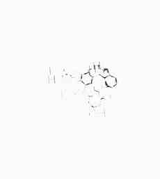 Cc1c2c(c(C(C)[C@@H]3C[C@@H](O)CC(=O)O3)c(C)c1-c1[nH]cc3ccccc13)OC(C)(C)C2